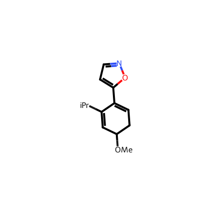 COC1C=C(C(C)C)C(c2ccno2)=CC1